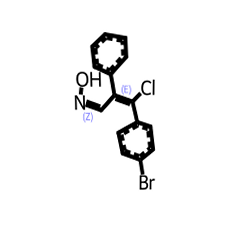 O/N=C\C(=C(\Cl)c1ccc(Br)cc1)c1ccccc1